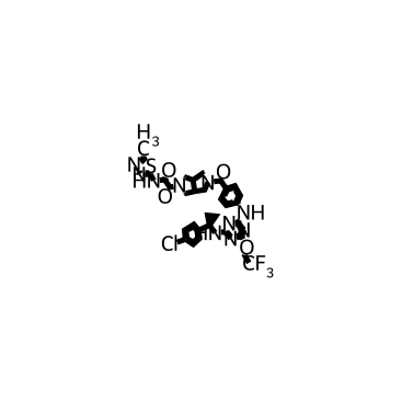 Cc1nnc(NC(=O)C(=O)N2CC3CN(C(=O)c4ccc(Nc5nc(NC6(c7ccc(Cl)cc7)CC6)nc(OCC(F)(F)F)n5)cc4)CC3C2)s1